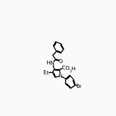 CCc1cn(-c2ccc(Br)cc2)c(C(=O)O)c1NC(=O)Cc1ccccc1